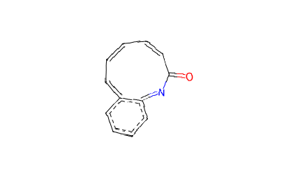 O=C1C=CC=CC=c2ccccc2=N1